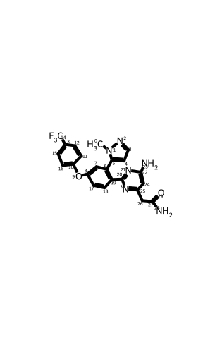 Cn1nccc1-c1cc(Oc2ccc(C(F)(F)F)cc2)ccc1-c1nc(N)cc(CC(N)=O)n1